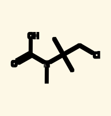 CN(C(=O)O)C(C)(C)CCl